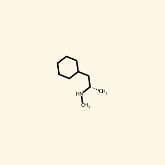 CN[C@@H](C)CC1CCCCC1